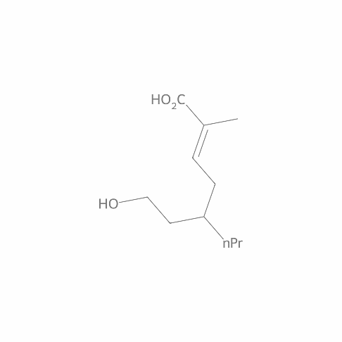 CCCC(CC=C(C)C(=O)O)CCO